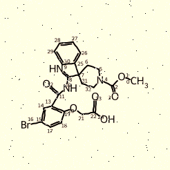 COC(=O)N1CCC(C(=N)NC(=O)c2cc(Br)ccc2OCC(=O)O)(c2ccccc2)CC1